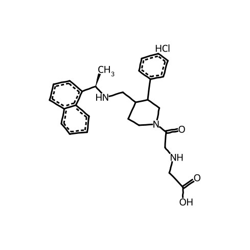 C[C@@H](NCC1CCN(C(=O)CNCC(=O)O)CC1c1ccccc1)c1cccc2ccccc12.Cl